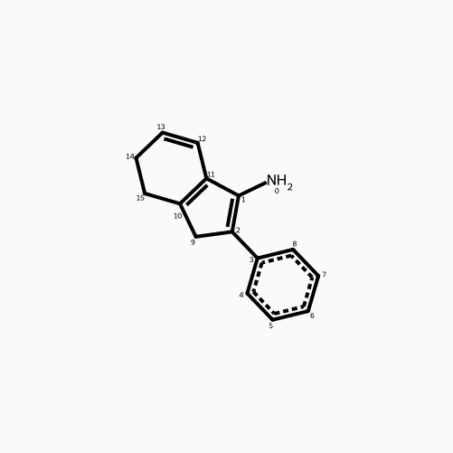 NC1=C(c2ccccc2)CC2=C1C=CCC2